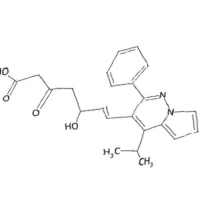 CC(C)c1c(C=CC(O)CC(=O)CC(=O)O)c(-c2ccccc2)nn2cccc12